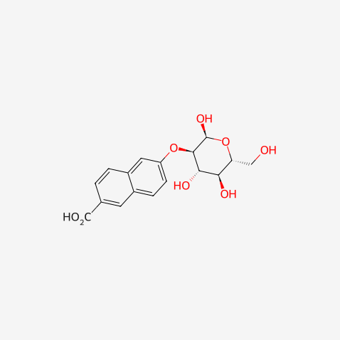 O=C(O)c1ccc2cc(O[C@@H]3[C@@H](O)[C@H](O)[C@@H](CO)O[C@@H]3O)ccc2c1